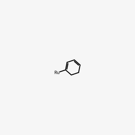 [Ru][C]1=CC=CCC1